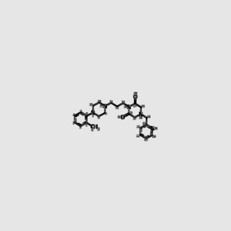 Cc1ccccc1N1CCN(CCCN2C(=O)CN(Cc3ccccn3)CC2=O)CC1